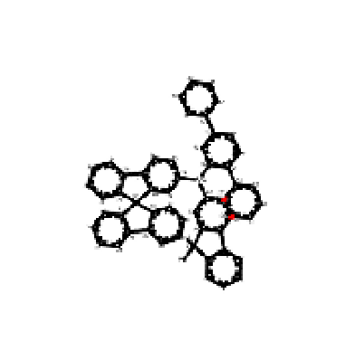 CC1(C)c2ccccc2-c2ccc(N(c3ccc4c(c3)C3(c5ccccc5-c5ccccc53)c3ccccc3-4)c3cc(-c4ccccc4)ccc3-c3ccccc3)cc21